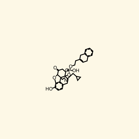 O=C1CCC2(OP(=O)(O)OCCC3=CCc4ccccc4C3)C3Cc4ccc(O)c5c4C2(CCN3CC2CC2)C1O5